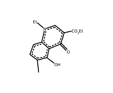 CCOC(=O)c1cn(CC)c2ccc(C)c(O)c2c1=O